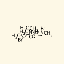 Cc1ccc(C(=O)NN(C(=O)c2ccc(C)c(Br)c2)C(C)(C)C)cc1Br